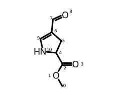 COC(=O)C1CC(C=O)=CN1